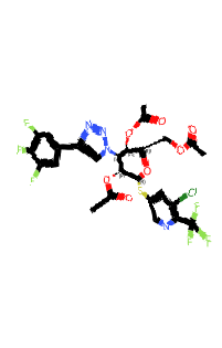 CC(=O)OC[C@H]1O[C@H](Sc2cnc(C(F)(F)F)c(Cl)c2)[C@H](OC(C)=O)[C@@H](n2cc(-c3cc(F)c(F)c(F)c3)nn2)[C@H]1OC(C)=O